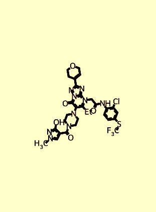 CCc1c(N2CCN(C(=O)c3cn(C)nc3O)CC2)c(=O)n2nc(C3=CCOCC3)nc2n1CC(=O)Nc1ccc(SC(F)(F)F)cc1Cl